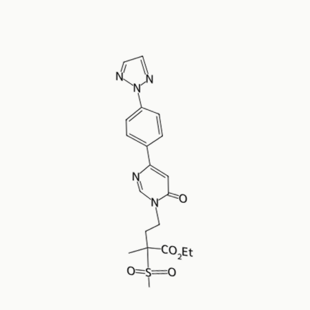 CCOC(=O)C(C)(CCn1cnc(-c2ccc(-n3nccn3)cc2)cc1=O)S(C)(=O)=O